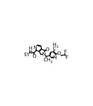 CCNC(=O)c1nccc2c1CN(C(C)c1cnc(OCC(F)F)c(C)c1)C2=O